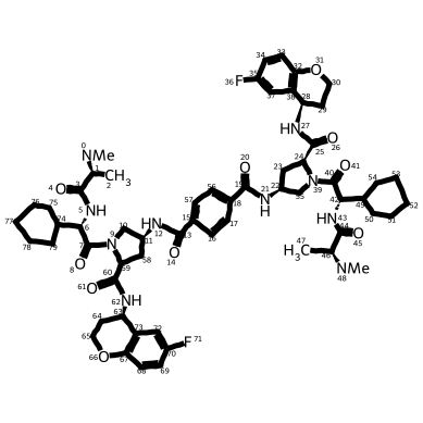 CN[C@@H](C)C(=O)N[C@H](C(=O)N1C[C@@H](NC(=O)c2ccc(C(=O)N[C@H]3C[C@@H](C(=O)N[C@@H]4CCOc5ccc(F)cc54)N(C(=O)[C@@H](NC(=O)[C@H](C)NC)C4CCCCC4)C3)cc2)CC1C(=O)N[C@@H]1CCOc2ccc(F)cc21)C1CCCCC1